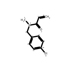 C=CC(=O)N(C)Cc1ccc(CC)cc1